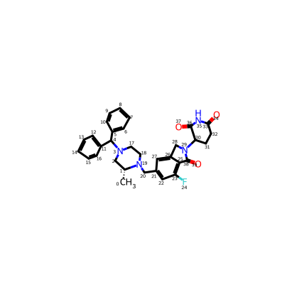 C[C@@H]1CN(C(c2ccccc2)c2ccccc2)CCN1Cc1cc(F)c2c(c1)CN(C1CCC(=O)NC1=O)C2=O